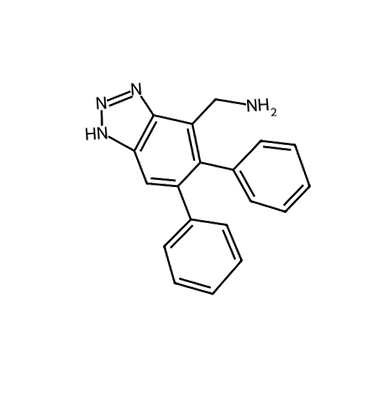 NCc1c(-c2ccccc2)c(-c2ccccc2)cc2[nH]nnc12